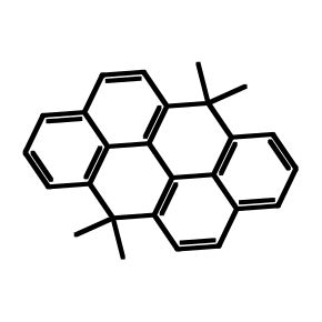 CC1(C)c2ccc3cccc4c3c2-c2c(ccc3cccc1c23)C4(C)C